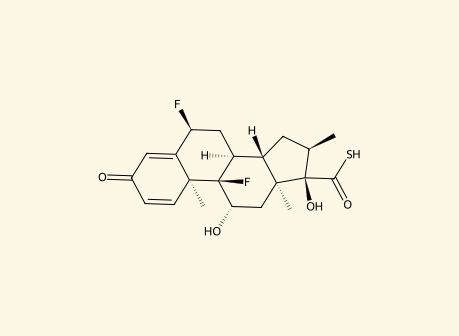 C[C@@H]1C[C@H]2[C@@H]3C[C@H](F)C4=CC(=O)C=C[C@]4(C)[C@@]3(F)[C@@H](O)C[C@]2(C)[C@@]1(O)C(=O)S